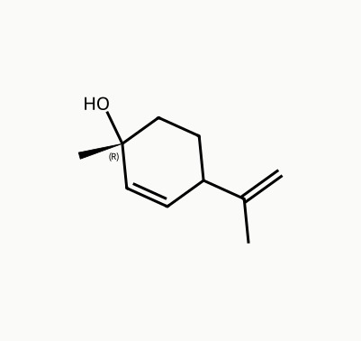 C=C(C)C1C=C[C@](C)(O)CC1